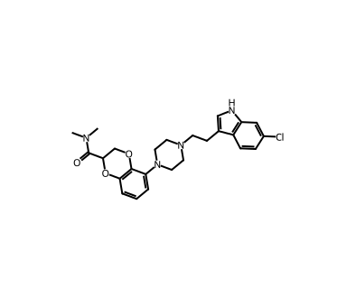 CN(C)C(=O)C1COc2c(cccc2N2CCN(CCc3c[nH]c4cc(Cl)ccc34)CC2)O1